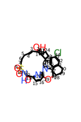 CC1(O)/C=C/CCCS(=O)(=O)NC(=O)c2ccc3c(n2)N(C[C@@H]2CC[C@H]21)C[C@@]1(CCCc2cc(Cl)ccc21)CO3